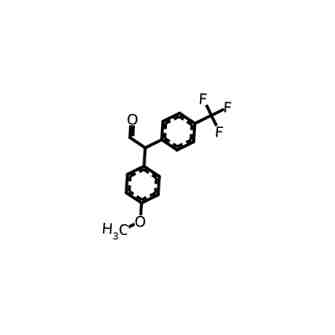 COc1ccc(C(C=O)c2ccc(C(F)(F)F)cc2)cc1